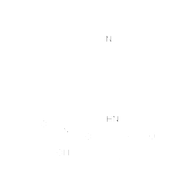 C=CC(=O)NCCCN(C)C.CCCCS(=O)(=O)O